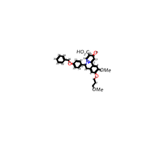 COCCCOc1cc2c(cc1OC)-c1cc(=O)c(C(=O)O)cn1C(c1ccc(OCc3ccccc3)cc1)C2